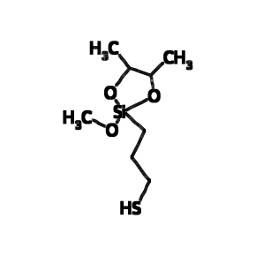 CO[Si]1(CCCS)OC(C)C(C)O1